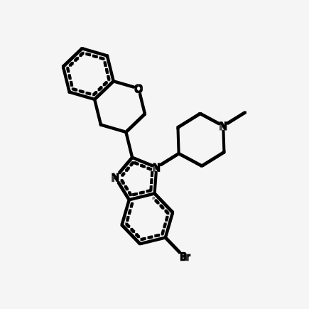 CN1CCC(n2c(C3COc4ccccc4C3)nc3ccc(Br)cc32)CC1